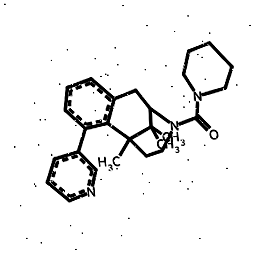 CC12CCN(C(=O)N3CCCCC3)C(Cc3cccc(-c4cccnc4)c31)C2(C)C